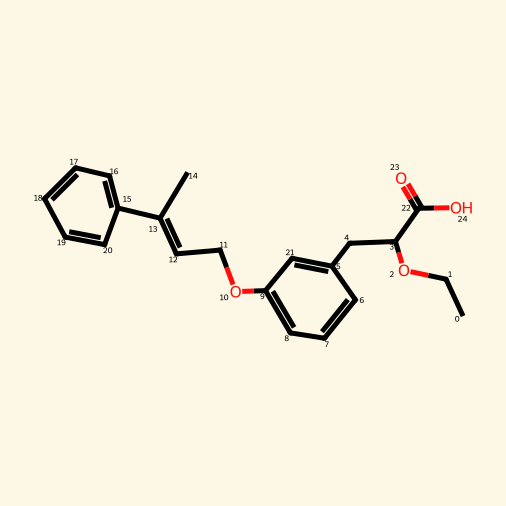 CCOC(Cc1cccc(OC/C=C(\C)c2ccccc2)c1)C(=O)O